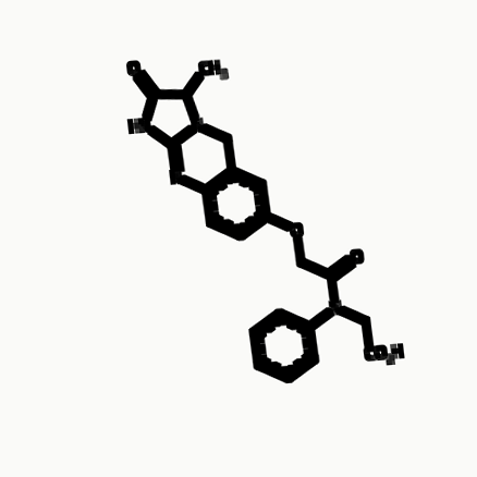 CC1C(=O)NC2=Nc3ccc(OCC(=O)N(CC(=O)O)c4ccccc4)cc3CN21